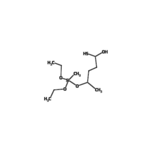 CCO[Si](C)(OCC)OC(C)CCC(O)S